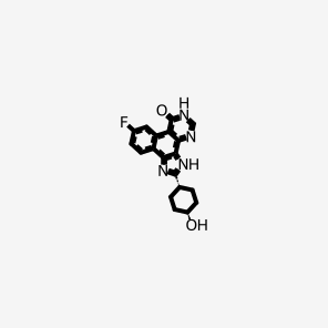 O=c1[nH]cnc2c3[nH]c([C@H]4CC[C@@H](O)CC4)nc3c3ccc(F)cc3c12